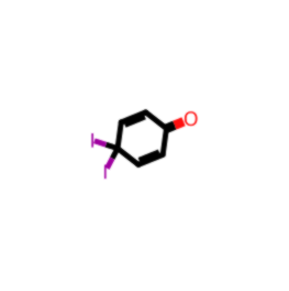 O=C1C=CC(I)(I)C=C1